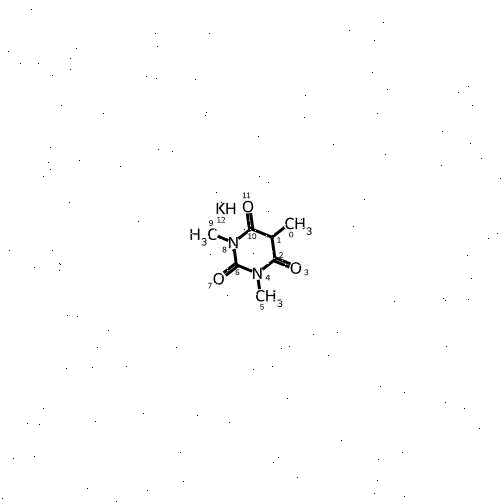 CC1C(=O)N(C)C(=O)N(C)C1=O.[KH]